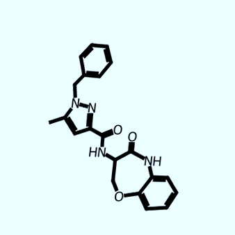 Cc1cc(C(=O)NC2COc3ccccc3NC2=O)nn1Cc1ccccc1